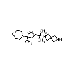 CC(C)(CCC(C)(C)N1CC2(CNC2)C1)N1CCOCC1